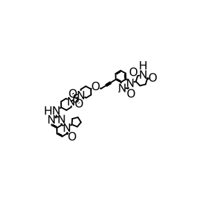 Cn1c(=O)n(C2CCC(=O)NC2=O)c2cccc(C#CCOC3CCN(S(=O)(=O)N4CCC(Nc5ncc6ccc(=O)n(C7CCCC7)c6n5)CC4)CC3)c21